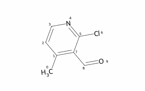 Cc1ccnc(Cl)c1C=O